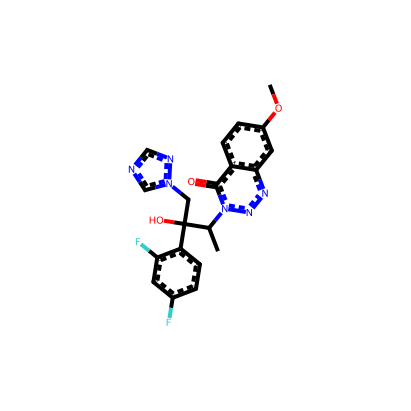 COc1ccc2c(=O)n(C(C)C(O)(Cn3cncn3)c3ccc(F)cc3F)nnc2c1